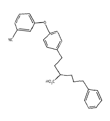 N#Cc1cccc(Oc2ccc(CCC(CCCc3ccccc3)C(=O)O)cc2)c1